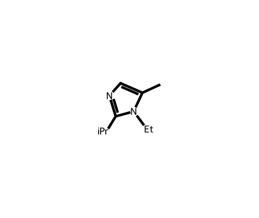 CCn1c(C)cnc1C(C)C